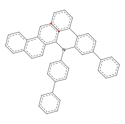 c1ccc(-c2ccc(N(c3cc(-c4ccccc4)ccc3-c3ccccc3)c3cccc4c3ccc3ccccc34)cc2)cc1